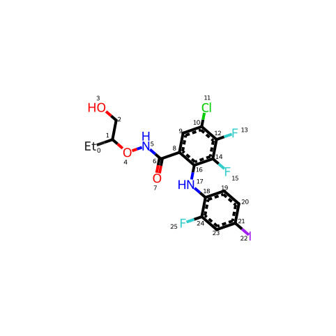 CCC(CO)ONC(=O)c1cc(Cl)c(F)c(F)c1Nc1ccc(I)cc1F